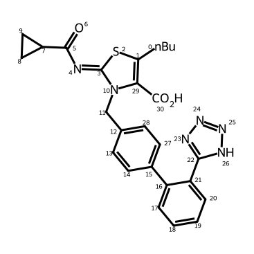 CCCCc1sc(=NC(=O)C2CC2)n(Cc2ccc(-c3ccccc3-c3nnn[nH]3)cc2)c1C(=O)O